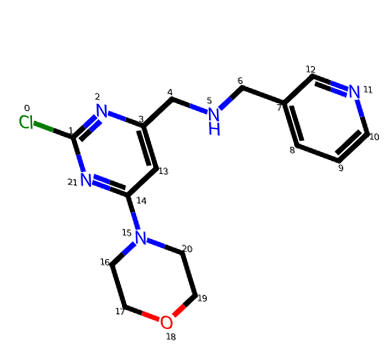 Clc1nc(CNCc2cccnc2)cc(N2CCOCC2)n1